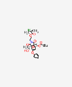 CC(O)[C@]12O[C@](COC(=O)C(C)(C)C)(C=C1Oc1ccccc1)[C@@H]1C(=O)N(CCOC(=O)C(C)(C)Br)C(=O)[C@@H]12